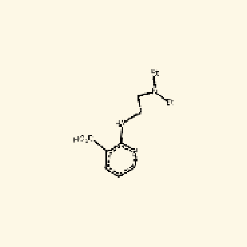 CCN(CC)CCNc1ncccc1C(=O)O